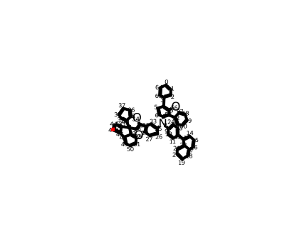 c1ccc(-c2ccc(N(c3ccc(-c4cccc5ccccc45)cc3)c3ccc4oc5c(c4c3)Oc3ccccc3C53c4ccccc4-c4ccccc43)c3c2oc2ccccc23)cc1